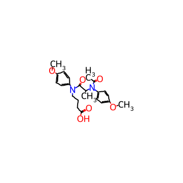 COc1ccc(N(CCCC(=O)O)C(=O)C(C)N(C(C)=O)c2ccc(OC)cc2)cc1